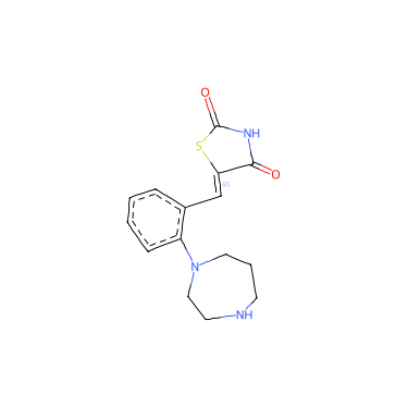 O=C1NC(=O)/C(=C/c2ccccc2N2CCCNCC2)S1